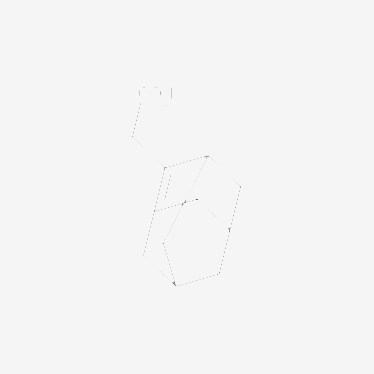 O=C(O)CC1=C2CC3CC(C2)CC1C3